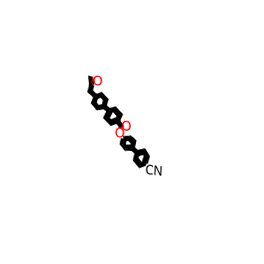 N#Cc1ccc(-c2ccc(OC(=O)c3ccc(C4CCC(CC5CO5)CC4)cc3)cc2)cc1